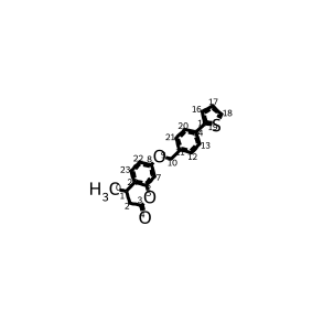 CC1CC(=O)Oc2cc(OCc3ccc(-c4cccs4)cc3)ccc21